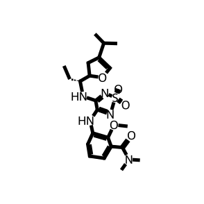 CC[C@@H](NC1=NS(=O)(=O)N=C1Nc1cccc(C(=O)N(C)C)c1OC)C1CC(C(C)C)=CO1